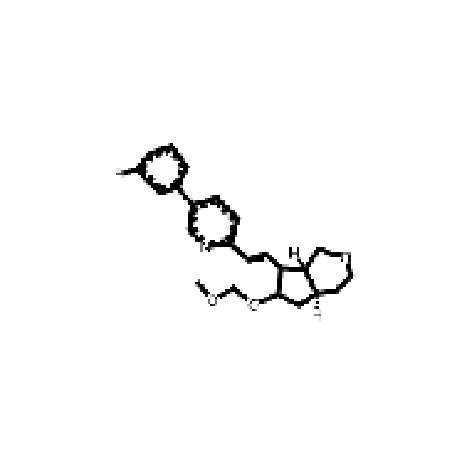 COCOC1C[C@@H]2CCOC[C@H]2C1/C=C/c1ccc(-c2cccc(F)c2)cn1